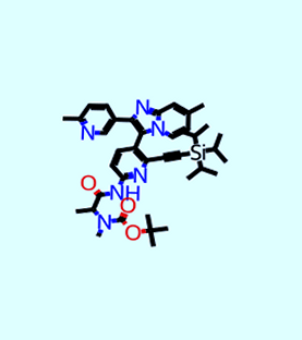 Cc1ccn2c(-c3ccc(NC(=O)C(C)N(C)C(=O)OC(C)(C)C)nc3C#C[Si](C(C)C)(C(C)C)C(C)C)c(-c3ccc(C)nc3)nc2c1